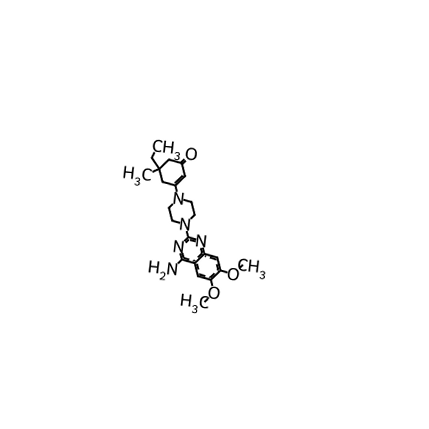 CCC1(C)CC(=O)C=C(N2CCN(c3nc(N)c4cc(OC)c(OC)cc4n3)CC2)C1